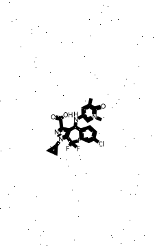 Cc1cc(NC(c2ccc(Cl)cc2)c2c(C(=O)O)nn(C3CC3)c2C(F)(F)F)cn(C)c1=O